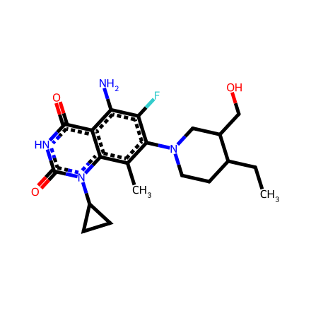 CCC1CCN(c2c(F)c(N)c3c(=O)[nH]c(=O)n(C4CC4)c3c2C)CC1CO